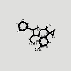 O=C(N1CC(CO)C(c2ccccc2)C1)C1(c2ccc(Cl)cc2)CC1